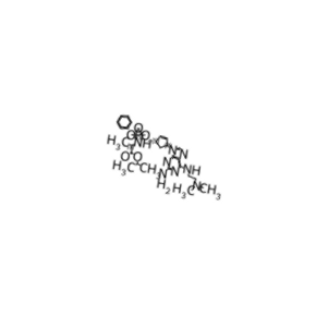 CC(C)OC(=O)[C@H](C)N[P@](=O)(OC[C@@H]1C=C[C@H](n2cnc3c(NCCN(C)C)nc(N)nc32)C1)Oc1ccccc1